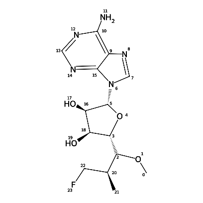 COC([C@H]1O[C@@H](n2cnc3c(N)ncnc32)[C@H](O)[C@@H]1O)[C@@H](C)CF